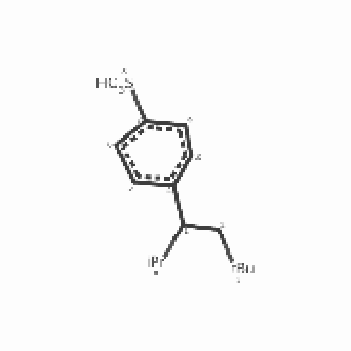 CC(C)C(CC(C)(C)C)c1ccc(S(=O)(=O)O)cc1